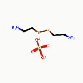 NCCSSCCN.O=S(=O)(O)O